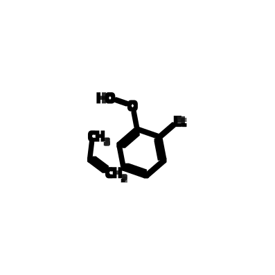 C=CC.CCc1ccccc1OO